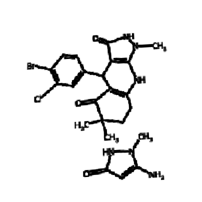 Cn1[nH]c(=O)c2c1NC1=C(C(=O)C(C)(C)CC1)C2c1ccc(Br)c(Cl)c1.Cn1[nH]c(=O)cc1N